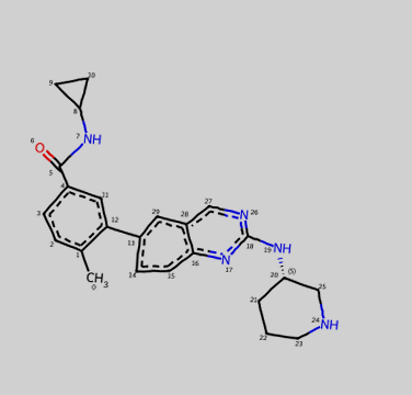 Cc1ccc(C(=O)NC2CC2)cc1-c1ccc2nc(N[C@H]3CCCNC3)ncc2c1